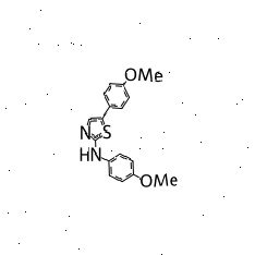 COc1ccc(Nc2ncc(-c3ccc(OC)cc3)s2)cc1